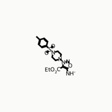 CCOC(=O)c1c([NH-])on[n+]1N1CCN(S(=O)(=O)c2ccc(C)cc2)CC1